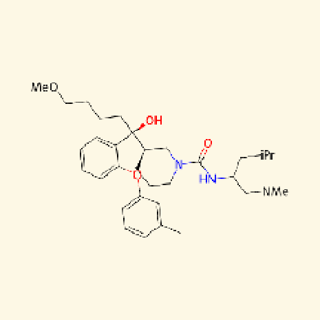 CNCC(CC(C)C)NC(=O)N1CCC[C@@H]([C@@](O)(CCCCOC)c2ccccc2Oc2cccc(C)c2)C1